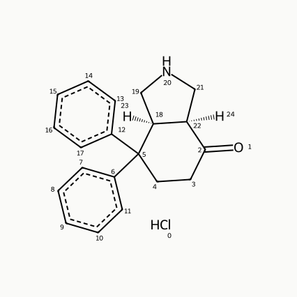 Cl.O=C1CCC(c2ccccc2)(c2ccccc2)[C@H]2CNC[C@@H]12